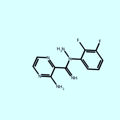 N=C(c1nccnc1N)N(N)c1cccc(F)c1F